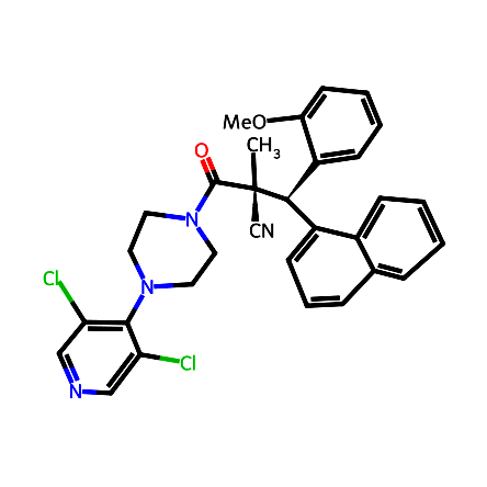 COc1ccccc1[C@@H](c1cccc2ccccc12)[C@](C)(C#N)C(=O)N1CCN(c2c(Cl)cncc2Cl)CC1